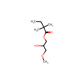 CCC(C)(C)C(=O)OCC(O)COC